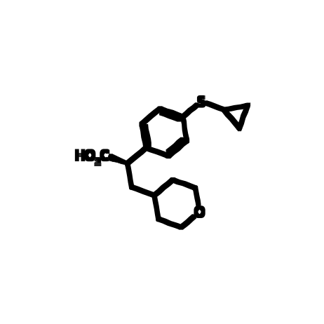 O=C(O)[C@H](CC1CCOCC1)c1ccc(SC2CC2)cc1